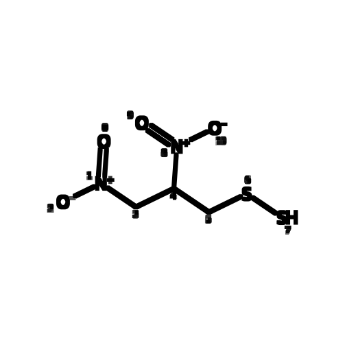 O=[N+]([O-])CC(CSS)[N+](=O)[O-]